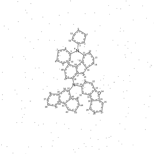 c1ccc(N(c2ccccc2)c2cccc3sc4c(N(c5ccc6oc7ccccc7c6c5)c5cc6ccccc6c6ccccc56)cccc4c23)cc1